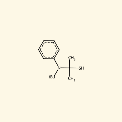 CC(C)(C)N(c1ccccc1)C(C)(C)S